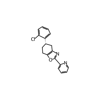 Clc1ccccc1[C@H]1CCc2oc(-c3ccccn3)nc2C1